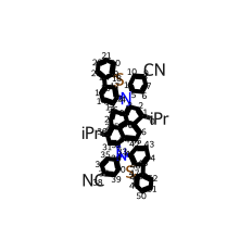 CC(C)c1cc(N(c2ccc(C#N)cc2)c2cccc3c2sc2ccccc23)c2ccc3c(C(C)C)cc(N(c4ccc(C#N)cc4)c4cccc5c4sc4ccccc45)c4ccc1c2c34